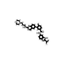 Cc1ccc(C(=O)Nc2ccc3nc(C(C)C)[nH]c3c2)cc1-c1ccc2nc(NCCCN3CCOCC3)ncc2c1